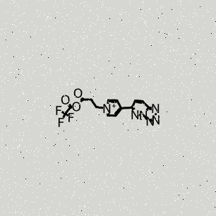 O=C(CC[n+]1ccc(-c2ccc3nnnn3n2)cc1)OC(=O)C(F)(F)F